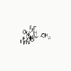 CCCCNc1ccc2nc(C(F)(F)F)c(CN3CC(C=C(F)F)CC3=O)n2n1